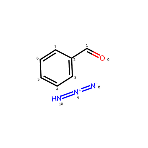 O=Cc1ccccc1.[N-]=[N+]=N